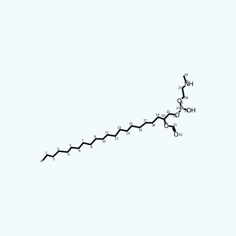 CCCCCCCCCCCCCCCCCCCCC(COP(O)OCCNC)OC=O